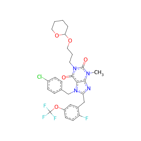 Cn1c(=O)n(CCCOC2CCCCO2)c(=O)c2c1nc(Cc1cc(OC(F)(F)F)ccc1F)n2Cc1ccc(Cl)cc1